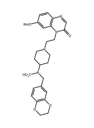 COc1ccc2ncc(=O)n(CCN3CCC(N(Cc4ccc5c(c4)OCCO5)C(=O)O)CC3)c2c1